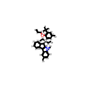 C=CCOc1c(C(C)(C)C)cc(C)cc1[Si](CC)(CC)C1c2ccccc2-c2c1n(C)c1ccc(C)cc21